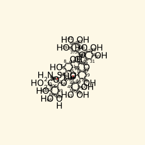 N[C@@H](CS[C@H]1c2c(O)cc(O)c([C@H]3c4c(O)cc(O)cc4O[C@H](c4cc(O)c(O)c(O)c4)[C@@H]3OC(=O)c3cc(O)c(O)c(O)c3)c2O[C@H](c2cc(O)c(O)c(O)c2)[C@@H]1OC(=O)c1cc(O)c(O)c(O)c1)C(=O)O